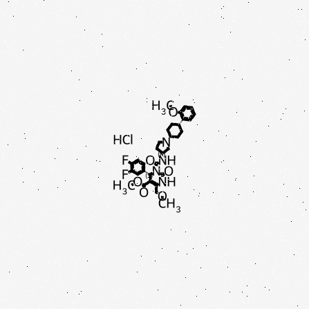 COCC1=C(C(=O)OC)[C@H](c2ccc(F)c(F)c2)N(C(=O)N[C@@H]2CCN([C@H]3CC[C@@H](c4ccccc4OC)CC3)C2)C(=O)N1.Cl